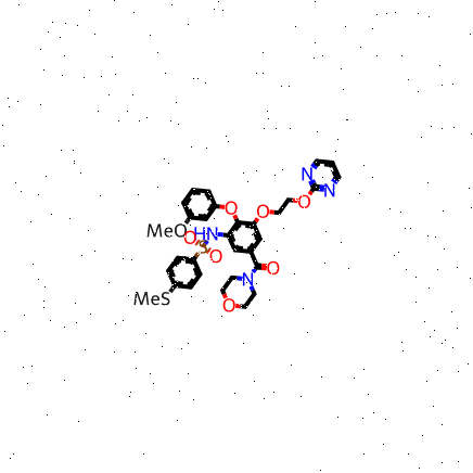 COc1cccc(Oc2c(NS(=O)(=O)c3ccc(SC)cc3)cc(C(=O)N3CCOCC3)cc2OCCOc2ncccn2)c1